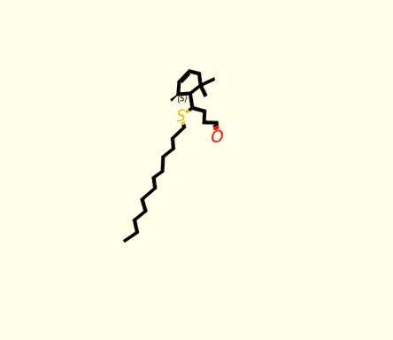 CCCCCCCCCCCCSC(CCC=O)C1[C@@H](C)C=CCC1(C)C